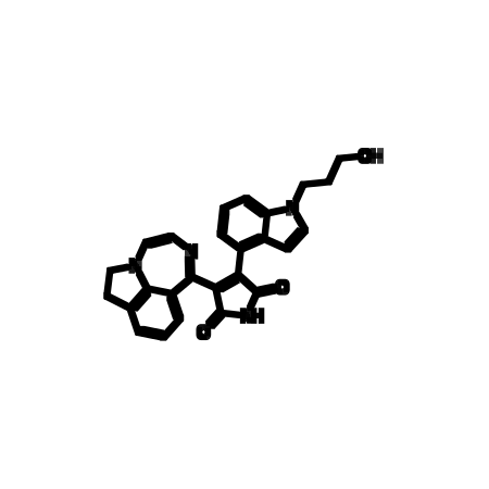 O=C1NC(=O)C(c2cccc3c2ccn3CCCO)=C1C1=NC=CN2CCc3cccc1c32